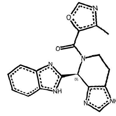 Cc1ncoc1C(=O)N1CCc2[nH]cnc2[C@H]1c1nc2ccccc2[nH]1